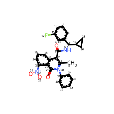 Cc1c(C(=O)N[C@H](c2cccc(F)c2)C2CC2)c2cccc([N+](=O)[O-])c2c(=O)n1-c1ccccc1